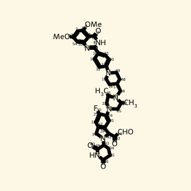 COc1cc(OC)c2c(=O)[nH]c(-c3ccc(N4CCC(CN5C(C)CN(c6cc7c(cc6F)CN(C6CCC(=O)NC6=O)C7C(=O)C=O)CC5C)CC4)cc3)nc2c1